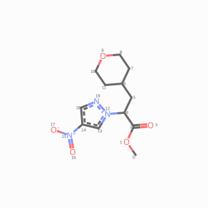 COC(=O)C(CC1CCOCC1)n1cc([N+](=O)[O-])cn1